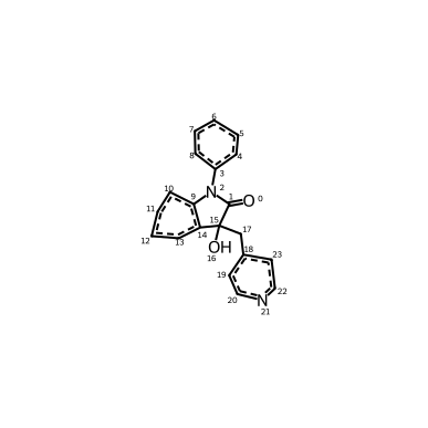 O=C1N(c2ccccc2)c2ccccc2C1(O)Cc1ccncc1